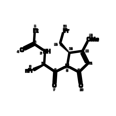 CCC[C@@H](NC(=O)CC)C(=O)N1C(=O)C=C(OC)[C@H]1CC(C)C